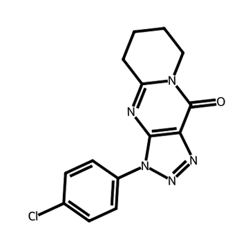 O=c1c2nnn(-c3ccc(Cl)cc3)c2nc2n1CCCC2